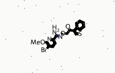 COc1nc(/C(N)=N/OCC(=O)c2csc3ccccc23)ccc1Br